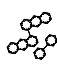 c1ccc(-c2ccccc2)cc1.c1ccc2cc3c(-c4cccc5cc6ccccc6cc45)cccc3cc2c1